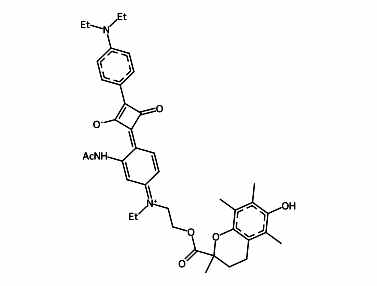 CCN(CC)c1ccc(C2=C([O-])/C(=C3C=C/C(=[N+](/CC)CCOC(=O)C4(C)CCc5c(C)c(O)c(C)c(C)c5O4)C=C/3NC(C)=O)C2=O)cc1